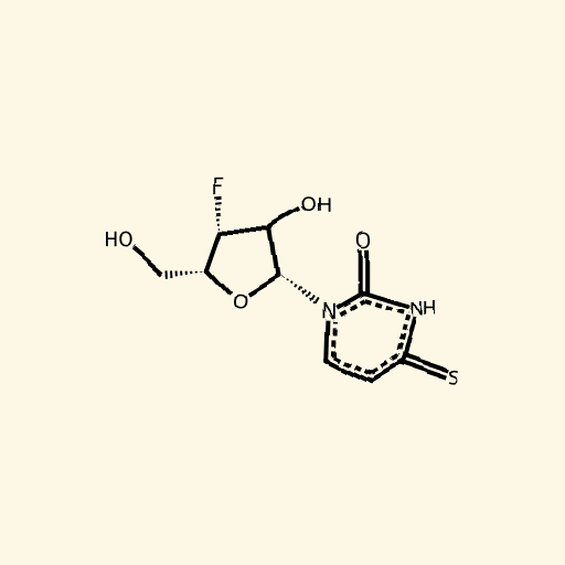 O=c1[nH]c(=S)ccn1[C@@H]1O[C@H](CO)[C@H](F)C1O